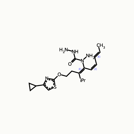 C/C=C/C=C\C(=C(\CCOc1nc(C2CC2)cs1)C(C)C)N(N)C(=O)NN